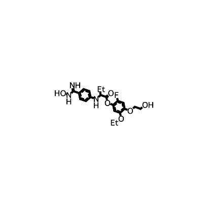 CCOc1cc(OC(=O)C(CC)Nc2ccc(C(=N)NO)cc2)c(F)cc1OCCO